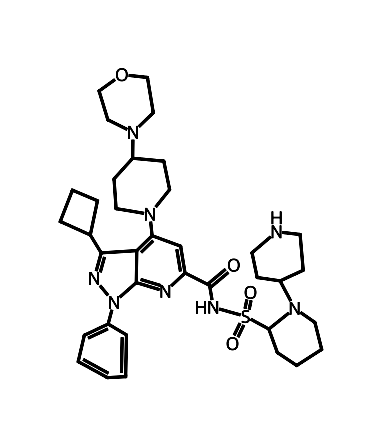 O=C(NS(=O)(=O)C1CCCCN1C1CCNCC1)c1cc(N2CCC(N3CCOCC3)CC2)c2c(C3CCC3)nn(-c3ccccc3)c2n1